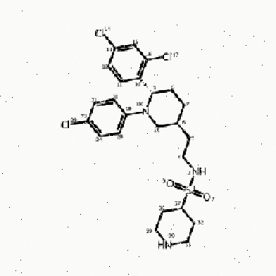 O=S(=O)(NCC[C@@H]1CC[C@@H](c2ccc(Cl)cc2Cl)N(c2ccc(Cl)cc2)C1)C1CCNCC1